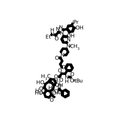 CCNC(=O)c1nnc(-c2cc(C(C)C)c(O)cc2O)n1-c1ccc(N(C)C2CCN(C(=O)CCC(=O)O[C@H](C(=O)O[C@@H]3C[C@@]4(O)C(C)C(=C3C)[C@H](O)C(=O)[C@@]3(C)[C@H](O)CC5OCC5(OC(C)=O)[C@@H]3[C@H]4OC(=O)c3ccccc3)[C@H](NC(=O)OC(C)(C)C)c3ccccc3)CC2)nc1